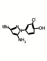 CC(C)(C)c1cc(N)n(-c2ccc(O)c(Cl)c2)n1